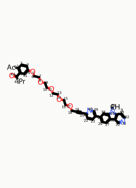 CC(=O)c1ccc(OCCOCCOCCOCCOCC#Cc2ccc(-c3ccc4c5cnccc5n(C)c4c3)cn2)cc1C(=O)C(C)C